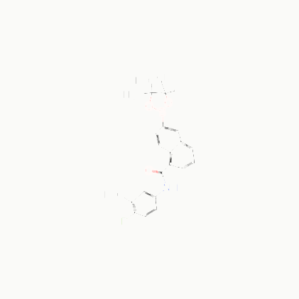 Cc1cc(NC(=O)c2cccc3cc(B4OC(C)(C)C(C)(C)O4)ccc23)ccc1F